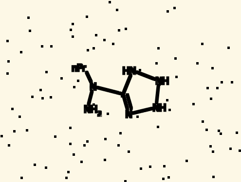 CCCN(N)C1=NNNN1